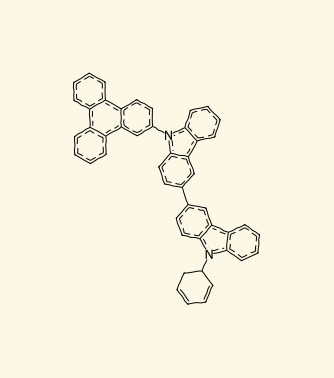 C1=CCC(n2c3ccccc3c3cc(-c4ccc5c(c4)c4ccccc4n5-c4ccc5c6ccccc6c6ccccc6c5c4)ccc32)C=C1